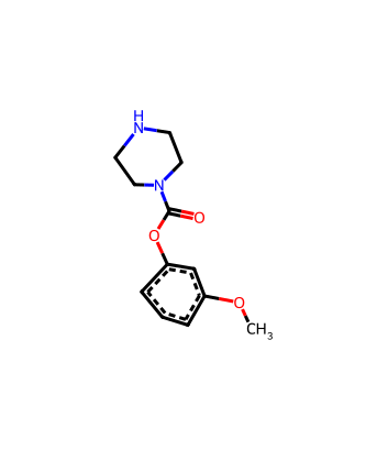 COc1cccc(OC(=O)N2CCNCC2)c1